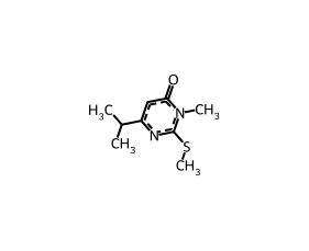 CSc1nc(C(C)C)cc(=O)n1C